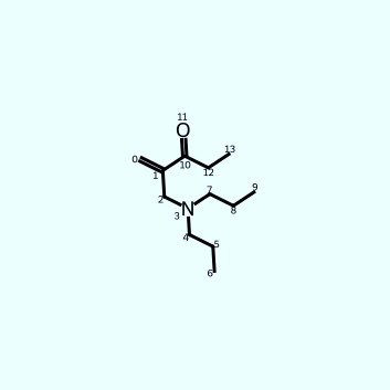 C=C(CN(CCC)CCC)C(=O)CC